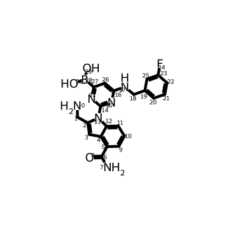 NCc1cc2c(C(N)=O)cccc2n1-c1nc(NCc2cccc(F)c2)cc(B(O)O)n1